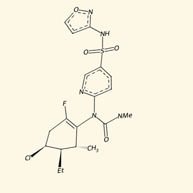 CC[C@H]1[C@@H](Cl)CC(F)=C(N(C(=O)NC)c2ccc(S(=O)(=O)Nc3ccon3)cn2)[C@@H]1C